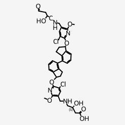 COc1nc(OC2CCc3c(-c4cccc5c4CCC5Oc4nc(OC)c(CNC[C@@H](O)CC(=O)O)cc4Cl)cccc32)c(Cl)cc1CNCC(O)CC=O